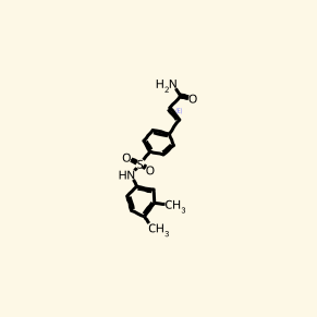 Cc1ccc(NS(=O)(=O)c2ccc(/C=C/C(N)=O)cc2)cc1C